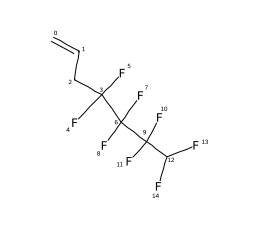 C=CCC(F)(F)C(F)(F)C(F)(F)C(F)F